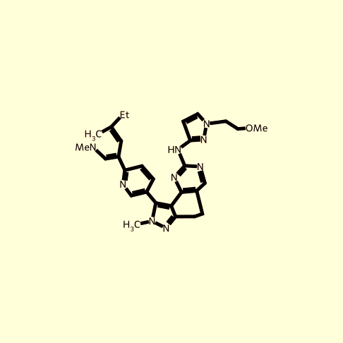 CC/C(C)=C/C(=C\NC)c1ccc(-c2c3c(nn2C)CCc2cnc(Nc4ccn(CCOC)n4)nc2-3)cn1